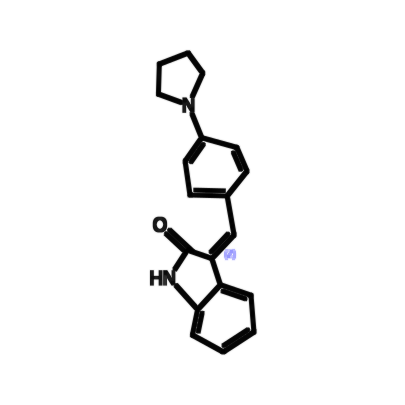 O=C1Nc2ccccc2/C1=C/c1ccc(N2CCCC2)cc1